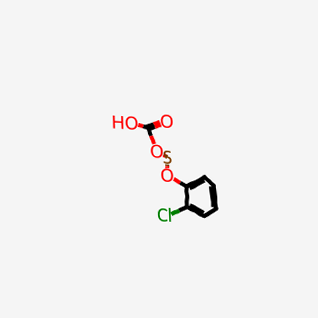 O=C(O)OSOc1ccccc1Cl